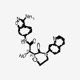 Nc1noc2cc(NC(=O)[C@H](O)[C@H]3OCCN(c4ccc5cccnc5c4)C3=O)ccc12